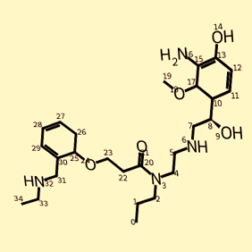 CCCN(CCNC[C@H](O)C1C=CC(O)=C(N)C1OC)C(=O)CCOC1CC=CC=C1CNCC